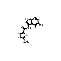 Cc1nc(C(=O)Nc2c[nH]c3ncc(Br)c(F)c23)cs1